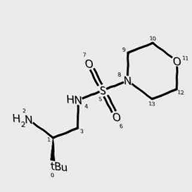 CC(C)(C)[C@@H](N)CNS(=O)(=O)N1CCOCC1